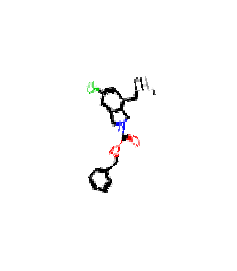 C=Cc1cc(Cl)cc2c1CN(C(=O)OCc1ccccc1)C2